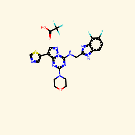 Fc1ccc2[nH]c(CNc3nc(N4CCOCC4)nc4c(-c5cncs5)cnn34)nc2c1F.O=C(O)C(F)(F)F